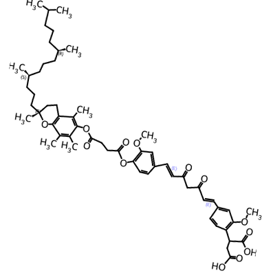 COc1cc(/C=C/C(=O)CC(=O)/C=C/c2ccc(C(CC(=O)O)C(=O)O)c(OC)c2)ccc1OC(=O)CCC(=O)Oc1c(C)c(C)c2c(c1C)CC[C@@](C)(CCC[C@@H](C)CCC[C@H](C)CCCC(C)C)O2